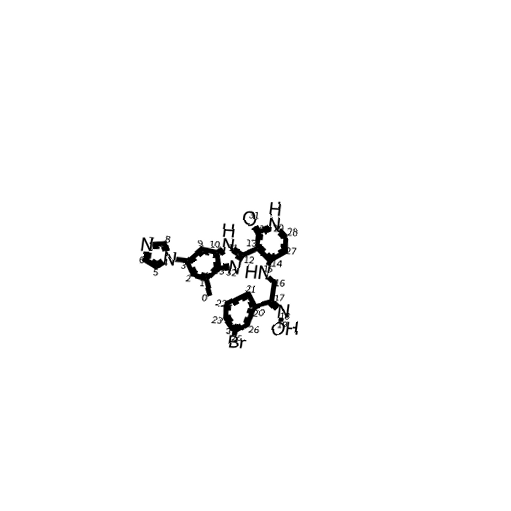 Cc1cc(-n2ccnc2)cc2[nH]c(-c3c(NC/C(=N/O)c4cccc(Br)c4)cc[nH]c3=O)nc12